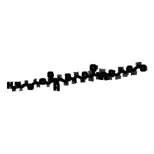 NCCOCCOCC(=O)NCCOCCCOCC(=O)NCCOCCCOCC=O